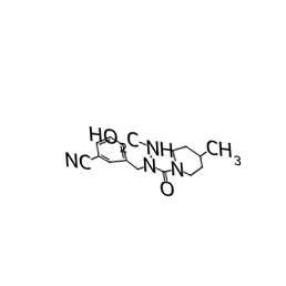 CC1CCN(C(=O)N(Cc2cccc(C#N)c2)NC(=O)O)CC1